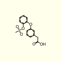 CS(=O)(=O)Oc1ccccc1Oc1cccc(CC(=O)O)c1